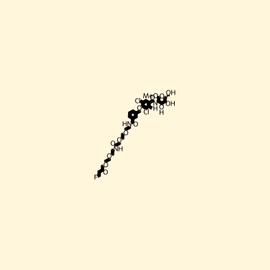 CO[C@H]1O[C@H](CO)[C@@H](O)[C@H](O)[C@H]1NC(=O)c1cc(Cl)c(OCc2cccc(C(=O)NCCOCCOCC(=O)NCCOCCOCC(=O)CCF)c2)c(Cl)c1C